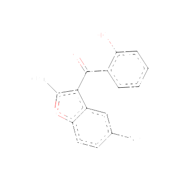 CCCCc1oc2ccc([N+](=O)[O-])cc2c1C(=O)c1ccccc1O